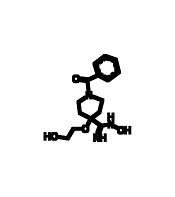 N=C(NO)C1(OCCO)CCN(C(=O)c2ccccc2)CC1